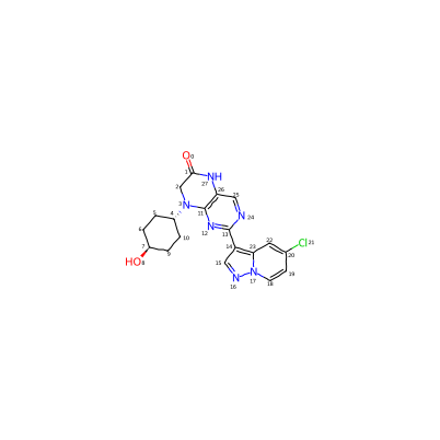 O=C1CN([C@H]2CC[C@H](O)CC2)c2nc(-c3cnn4ccc(Cl)cc34)ncc2N1